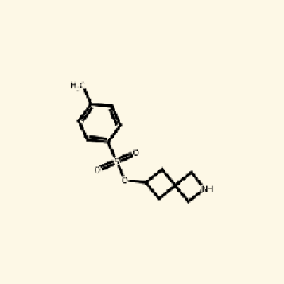 Cc1ccc(S(=O)(=O)OC2CC3(CNC3)C2)cc1